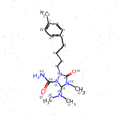 Cc1ccc(CCCCN2C(=O)N(C)C(N(C)C)N2C(N)=O)cc1